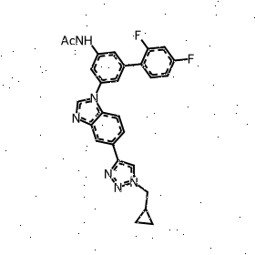 CC(=O)Nc1cc(-c2ccc(F)cc2F)cc(-n2cnc3cc(-c4cn(CC5CC5)nn4)ccc32)c1